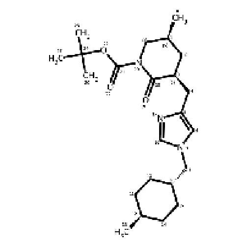 C[C@H]1C[C@@H](Cc2cn(C[C@H]3CC[C@H](C)CC3)cn2)C(=O)N(C(=O)OC(C)(C)C)C1